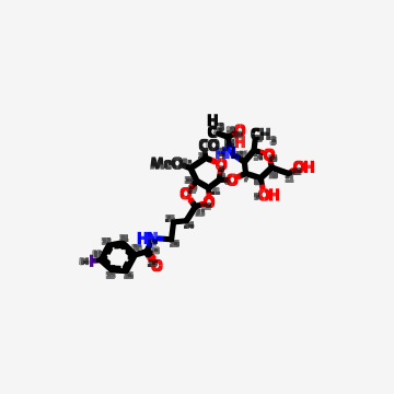 COC1C(C(=O)O)OC(OC2C(O)C(CO)OC(C)C2NC(C)O)C2OC(CCCNC(=O)c3ccc(I)cc3)OC21